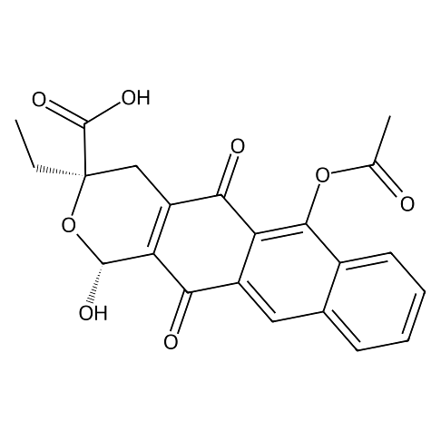 CC[C@]1(C(=O)O)CC2=C(C(=O)c3cc4ccccc4c(OC(C)=O)c3C2=O)[C@H](O)O1